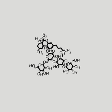 CCCCCc1cc(O[C@@H]2O[C@H](COC3O[C@H](CO)[C@@H](O)[C@H](O)[C@H]3O)[C@@H](O[C@@H]3O[C@H](CO)[C@@H](O)[C@H](O[C@@H]4O[C@H](CO)[C@@H](O)[C@H](O)[C@H]4O)[C@H]3O)[C@H](O)[C@H]2O)c2c(c1)OC(C)(C)[C@@H]1CCC(C)=C[C@@H]21